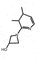 CC1C=CN=C(N2CC(O)C2)C1C